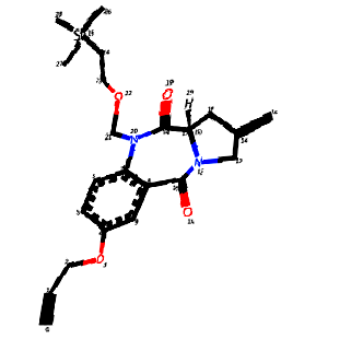 C#CCOc1ccc2c(c1)C(=O)N1CC(=C)C[C@H]1C(=O)N2COCC[Si](C)(C)C